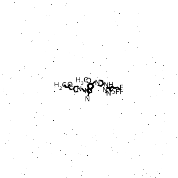 C=CC(=O)CC1CCN(CCn2c(C#N)cc3cc(CN4CCC(Nc5ncnc6sc(CC(F)(F)F)cc56)CC4)c(OC)cc32)CC1